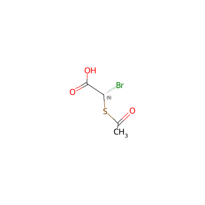 CC(=O)S[C@@H](Br)C(=O)O